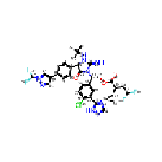 CC(C)(C)C[C@]1(c2ccc(-c3cnn(C(F)F)c3)cc2)NC(=N)N([C@H](COC(=O)C(CC(F)F)C2CC2)c2ccc(Cl)c(-c3ncn[nH]3)c2)C1=O